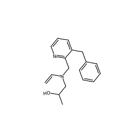 C=CN(Cc1ncccc1Cc1ccccc1)CC(C)O